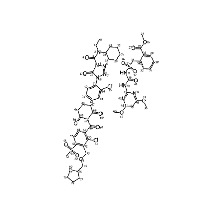 CCN(C(=O)n1nnn(-c2ccccc2Cl)c1=O)C1CCCCC1.COC(=O)c1ccccc1CS(=O)(=O)NC(=O)Nc1nc(OC)cc(OC)n1.CS(=O)(=O)c1ccc(C(=O)C2C(=O)CCCC2=O)c(Cl)c1COCC1CCCO1